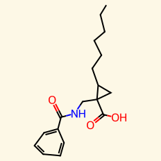 CCCCCCC1CC1(CNC(=O)c1ccccc1)C(=O)O